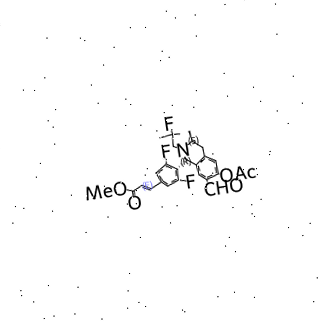 COC(=O)/C=C/c1cc(F)c([C@H]2c3cc(C=O)c(OC(C)=O)cc3C[C@H](C)N2CC(C)(C)F)c(F)c1